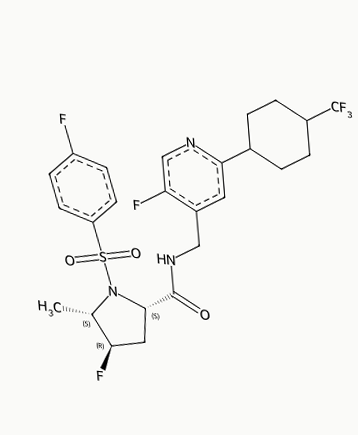 C[C@H]1[C@H](F)C[C@@H](C(=O)NCc2cc(C3CCC(C(F)(F)F)CC3)ncc2F)N1S(=O)(=O)c1ccc(F)cc1